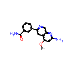 CCOc1cc(N)nc2cnc(-c3cccc(C(N)=O)c3)cc12